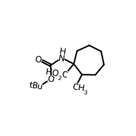 CC1CCCCCC1(NC(=O)OC(C)(C)C)C(=O)O